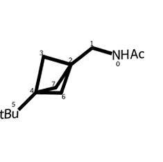 CC(=O)NCC12CC(C(C)(C)C)(C1)C2